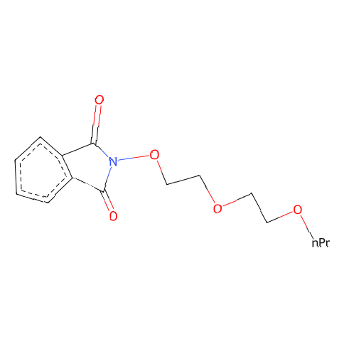 CCCOCCOCCON1C(=O)c2ccccc2C1=O